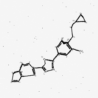 Cc1cc(-c2nnc(-c3ccc4c(c3)C=CC4)o2)ccc1CCC1CC1